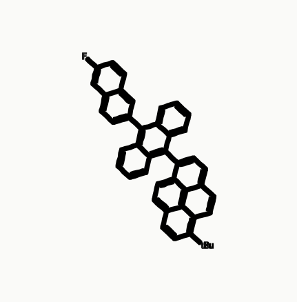 CC(C)(C)c1ccc2ccc3c(-c4c5ccccc5c(-c5ccc6cc(F)ccc6c5)c5ccccc45)ccc4ccc1c2c43